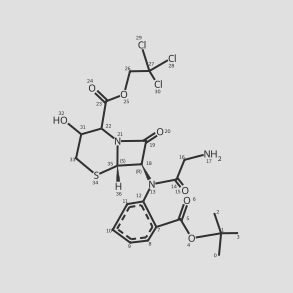 CC(C)(C)OC(=O)c1ccccc1N(C(=O)CN)[C@@H]1C(=O)N2C(C(=O)OCC(Cl)(Cl)Cl)C(O)CS[C@@H]12